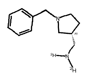 [2H]N([2H])C[C@H]1CCN(Cc2ccccc2)C1